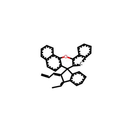 C=C/C=C1\C(=C/C)c2ccccc2C12c1ccc3ccccc3c1Oc1c2ccc2ccccc12